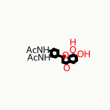 CC(=O)Nc1ccc(-c2cc(=O)c3ccc(O)c(O)c3o2)cc1NC(C)=O